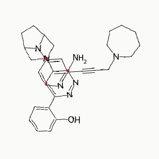 Nc1nnc(-c2ccccc2O)cc1N1CC2CCC(C1)N2c1ccnc(C#CCN2CCCCCC2)c1